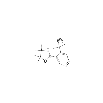 CC(C)(N)c1ccccc1B1OC(C)(C)C(C)(C)O1